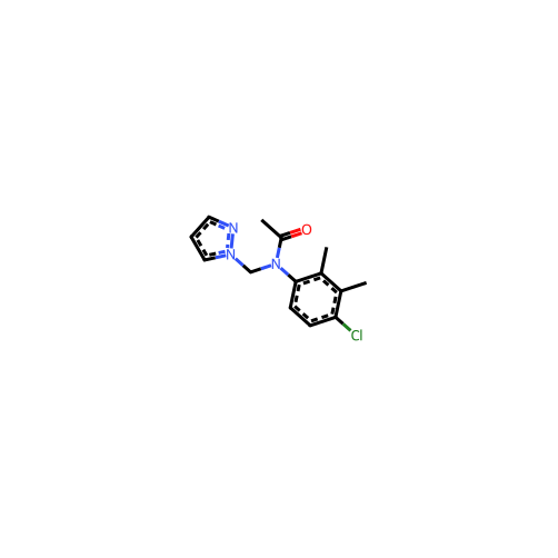 CC(=O)N(Cn1cccn1)c1ccc(Cl)c(C)c1C